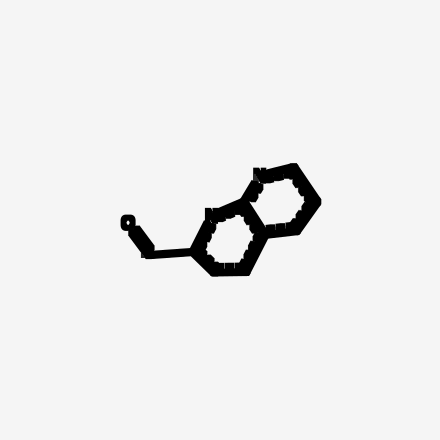 O=[C]c1ccc2cccnc2n1